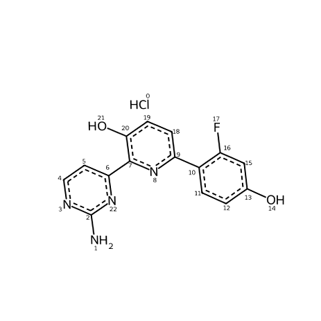 Cl.Nc1nccc(-c2nc(-c3ccc(O)cc3F)ccc2O)n1